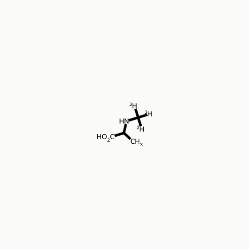 [2H]C([2H])([2H])NC(C)C(=O)O